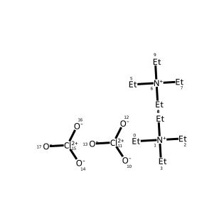 CC[N+](CC)(CC)CC.CC[N+](CC)(CC)CC.[O-][Cl+2]([O-])[O-].[O-][Cl+2]([O-])[O-]